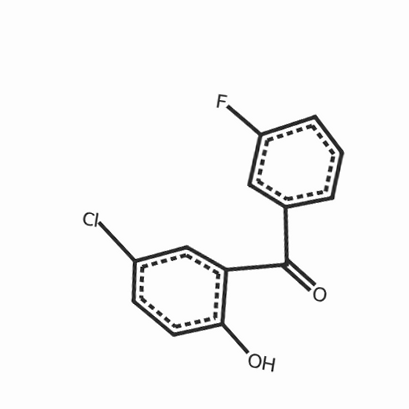 O=C(c1cccc(F)c1)c1cc(Cl)ccc1O